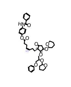 O=C(CC/C=C\CC[C@H]1C(=O)C[C@H](OC2CCCCO2)[C@H]1OCC(COc1ccccc1)OC1CCCCO1)Oc1ccc(NC(=O)c2ccccc2)cc1